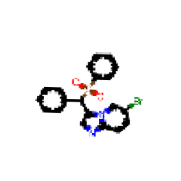 O=S(=O)(c1ccccc1)C(c1ccccc1)c1cnc2ccc(Br)cn12